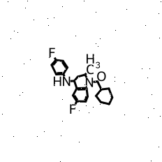 CC1CC(Nc2ccc(F)cc2)c2cc(F)ccc2N1C(=O)C1CCCCC1